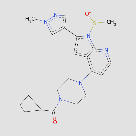 Cn1cc(-c2cc3c(N4CCN(C(=O)C5CCC5)CC4)ccnc3n2[S+](C)[O-])cn1